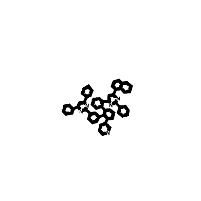 c1ccc(-c2cc(-c3ccccc3)nc(-c3cccc(-c4c(-c5cccnc5)cccc4-c4ccccc4-c4cc(-c5cccc6ccccc56)nc(-c5ccccc5)n4)c3)n2)cc1